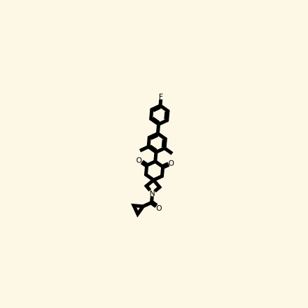 Cc1cc(-c2ccc(F)cc2)cc(C)c1C1C(=O)CC2(CC1=O)CN(C(=O)C1CC1)C2